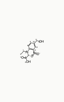 CCN(CC(=O)O)c1ccc(CO)cc1[N+](=O)[O-]